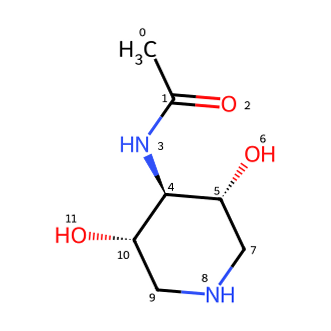 CC(=O)N[C@H]1[C@H](O)CNC[C@@H]1O